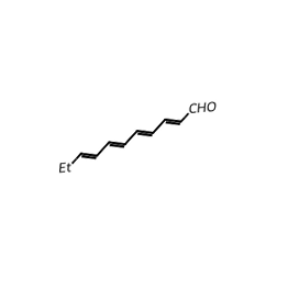 CCC=CC=CC=CC=CC=O